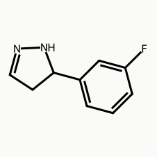 Fc1cccc(C2CC=NN2)c1